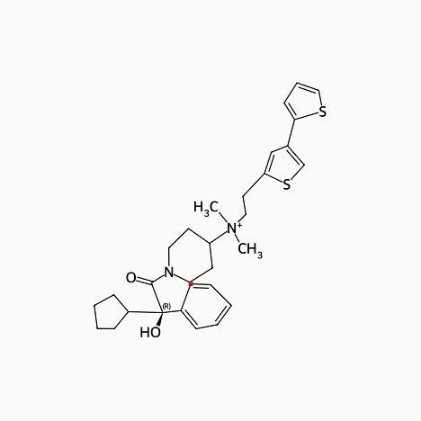 C[N+](C)(CCc1cc(-c2cccs2)cs1)C1CCN(C(=O)[C@](O)(c2ccccc2)C2CCCC2)CC1